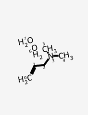 C=CCN(C)C.O.O